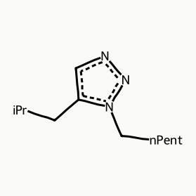 CCCCCCn1nncc1CC(C)C